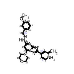 C=C/C=C(\C=C/N)c1nc2nc(N/N=C/c3cccc(OC)c3)cc(N3CCOCC3)n2n1